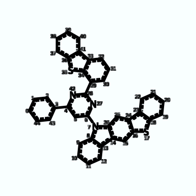 c1ccc(-c2cc(-n3c4ccccc4c4cc5sc6ccccc6c5cc43)nc(-c3cccc4c3sc3ccccc34)n2)cc1